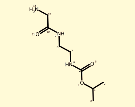 CC(C)OC(=O)NCCNC(=O)CN